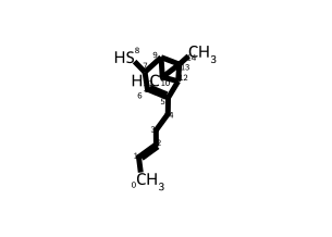 CC=CCCC1=CC(S)C2C3(C)C1C23C